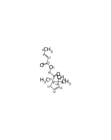 C/C=C/C(=O)OCC(=O)[C@]1(C)CC=CC1(C)C